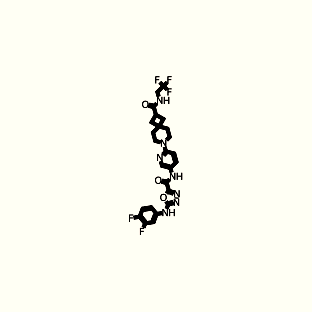 O=C(Nc1ccc(N2CCC3(CC2)CC(C(=O)NCC(F)(F)F)C3)nc1)c1nnc(Nc2ccc(F)c(F)c2)o1